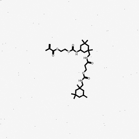 C=C(C)C(=O)OCCOC(=O)NC1CC(C)(C)CC(C)(CNC(=O)CCOC(=O)NCC2(C)CC(C)CC(C)(C)C2)C1